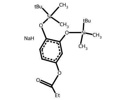 CCC(=O)Oc1ccc(O[Si](C)(C)C(C)(C)C)c(O[Si](C)(C)C(C)(C)C)c1.[NaH]